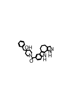 O=C(c1ccc2[nH]c3c(c2c1)CCCc1cn[nH]c1-3)N1CCC(O)(Cc2ccccc2)CC1